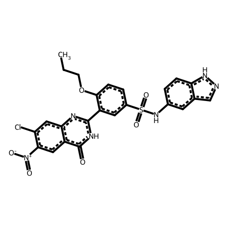 CCCOc1ccc(S(=O)(=O)Nc2ccc3[nH]ncc3c2)cc1-c1nc2cc(Cl)c([N+](=O)[O-])cc2c(=O)[nH]1